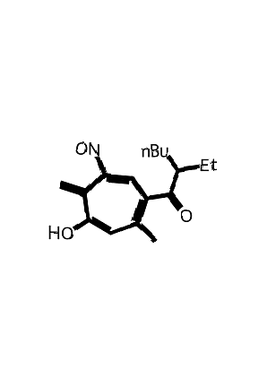 C=C1C(O)=CC(C)=C(C(=O)C(CC)CCCC)C=C1N=O